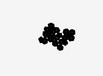 c1ccc(C2(c3ccccc3)c3ccccc3-c3c(-c4sc(-c5cccc6c5-c5ccccc5C6(c5ccccc5)c5ccccc5)c5nc6c7cc(-c8ccccc8-c8cccc9ncsc89)ccc7c7ccc(-c8ccccc8-c8cccc9ncsc89)cc7c6nc45)cccc32)cc1